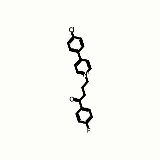 O=C(CCC[n+]1ccc(-c2ccc(Cl)cc2)cc1)c1ccc(F)cc1